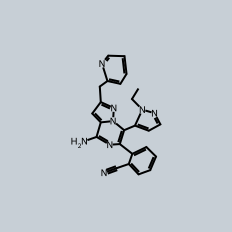 CCn1nccc1-c1c(-c2ccccc2C#N)nc(N)c2cc(Cc3ccccn3)nn12